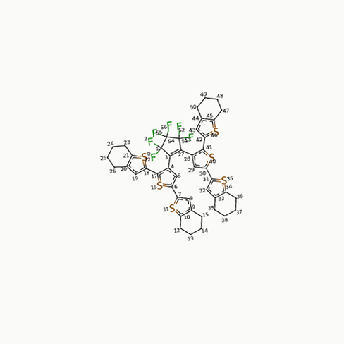 FC1(F)C(c2cc(-c3cc4c(s3)CCCC4)sc2-c2cc3c(s2)CCCC3)=C(c2cc(-c3cc4c(s3)CCCC4)sc2-c2cc3c(s2)CCCC3)C(F)(F)C1(F)F